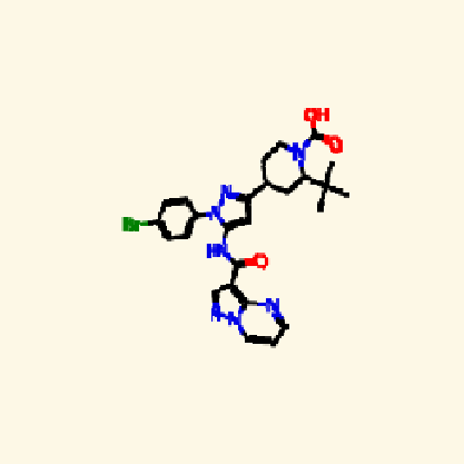 CC(C)(C)C1CC(c2cc(NC(=O)c3cnn4cccnc34)n(-c3ccc(Br)cc3)n2)CCN1C(=O)O